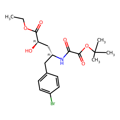 CCOC(=O)[C@H](O)C[C@@H](Cc1ccc(Br)cc1)NC(=O)C(=O)OC(C)(C)C